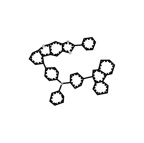 c1ccc(-c2nc3cc4oc5cccc(-c6ccc(N(c7ccccc7)c7ccc(-c8cc9ccccc9c9ccccc89)cc7)cc6)c5c4cc3o2)cc1